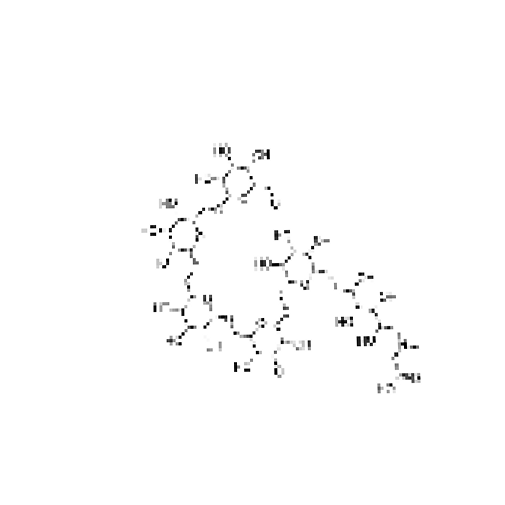 CN(CC(=O)O)CC(O)[C@@H](O)[C@H](O)[C@H](O)COC1O[C@H](CO[C@@H]2O[C@H](CO[C@@H]3O[C@H](CO[C@@H]4O[C@H](CO[C@@H]5O[C@H](CO)[C@@H](O)[C@H](O)[C@H]5O)[C@@H](O)[C@H](O)[C@H]4O)[C@@H](O)[C@H](O)[C@H]3O)[C@@H](O)[C@H](O)[C@H]2O)[C@@H](O)[C@H](O)[C@H]1O